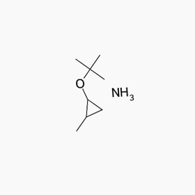 CC1CC1OC(C)(C)C.N